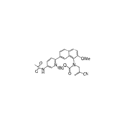 C=C(C#N)CN(C(=O)OC(C)(C)C)c1c(OC)ccc2ccc(-c3ccc(NS(C)(=O)=O)cn3)cc12